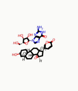 C[C@]12CC[C@H](O)C[C@H]1CC[C@@H]1[C@@H]2CC[C@]2(C)[C@@H](c3ccc(=O)oc3)C[C@H]3O[C@]132.Nc1nc2c(ncn2[C@@H]2O[C@H](CO)[C@@H](O)[C@H]2O)c(=O)[nH]1